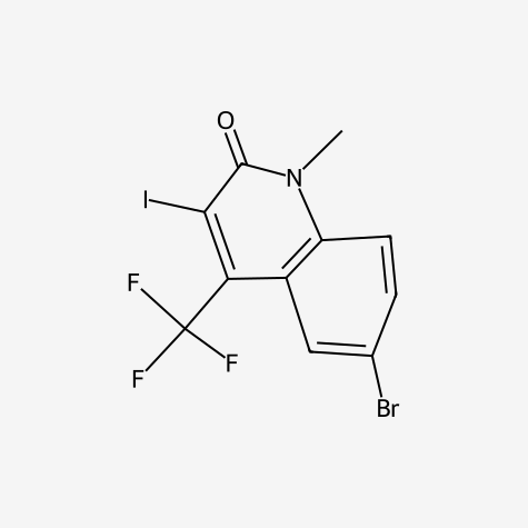 Cn1c(=O)c(I)c(C(F)(F)F)c2cc(Br)ccc21